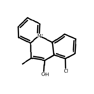 Cc1c(O)c2c(Cl)cccc2[n+]2ccccc12